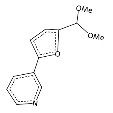 COC(OC)c1ccc(-c2cccnc2)o1